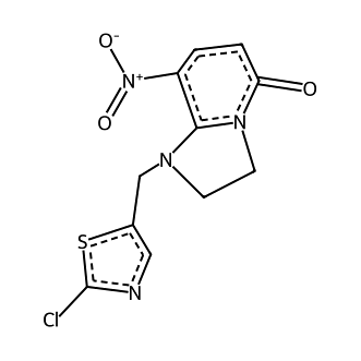 O=c1ccc([N+](=O)[O-])c2n1CCN2Cc1cnc(Cl)s1